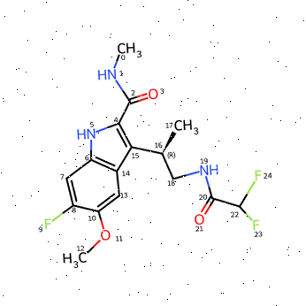 CNC(=O)c1[nH]c2cc(F)c(OC)cc2c1[C@@H](C)CNC(=O)C(F)F